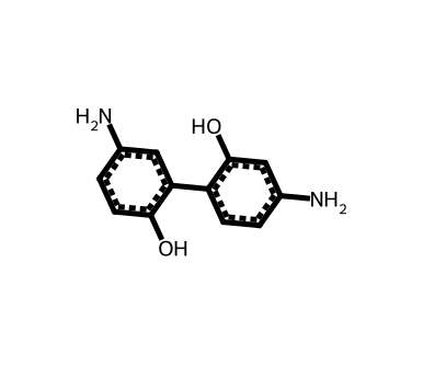 Nc1ccc(-c2cc(N)ccc2O)c(O)c1